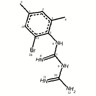 Cc1cc(C)c(NC(=N)NC(=N)N)c(Br)c1